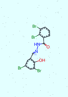 O=C(N/N=C/c1cc(Br)cc(Br)c1O)c1cccc(Br)c1Br